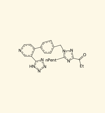 CCCCCc1nc(C(=O)CC)nn1Cc1ccc(-c2ccncc2-c2nnn[nH]2)cc1